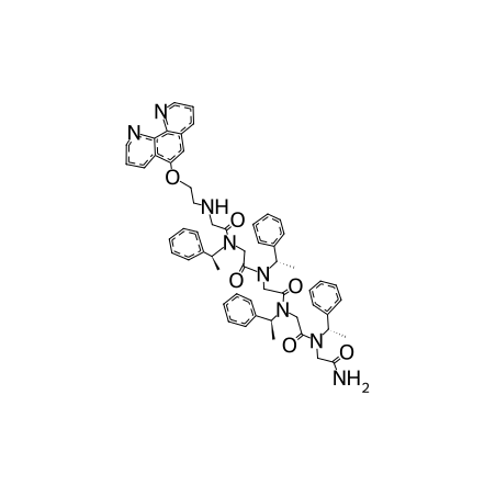 C[C@@H](c1ccccc1)N(CC(N)=O)C(=O)CN(C(=O)CN(C(=O)CN(C(=O)CNCCOc1cc2cccnc2c2ncccc12)[C@@H](C)c1ccccc1)[C@@H](C)c1ccccc1)[C@@H](C)c1ccccc1